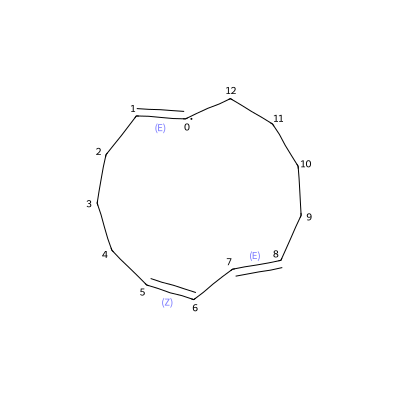 [C]1=C/CCC/C=C\C=C\CCCC/1